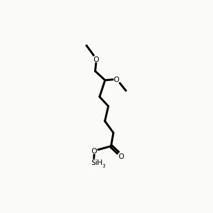 COCC(CCCCC(=O)O[SiH3])OC